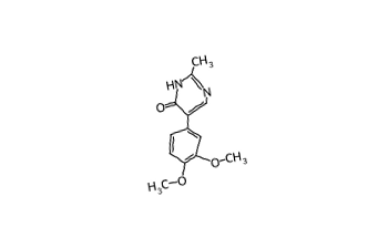 COc1ccc(-c2cnc(C)[nH]c2=O)cc1OC